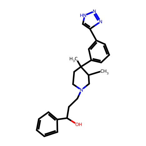 CC1CN(CCC(O)c2ccccc2)CCC1(C)c1cccc(-c2c[nH]nn2)c1